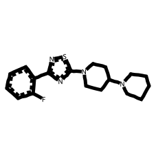 Fc1ccccc1-c1nsc(N2CCC(N3CCCCC3)CC2)n1